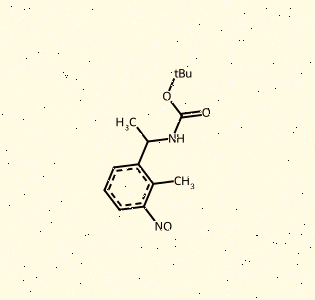 Cc1c(N=O)cccc1C(C)NC(=O)OC(C)(C)C